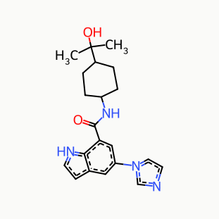 CC(C)(O)C1CCC(NC(=O)c2cc(-n3ccnc3)cc3cc[nH]c23)CC1